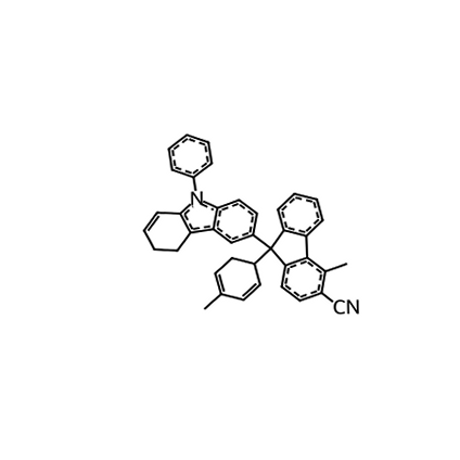 CC1=CCC(C2(c3ccc4c(c3)c3c(n4-c4ccccc4)C=CCC3)c3ccccc3-c3c2ccc(C#N)c3C)C=C1